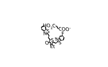 CCn1c(=Cc2sc3ccc(F)cc3[n+]2C)sc(=CC=C2Sc3ccccc3N2C)c1=O.O=C([O-])C=CC(=O)O